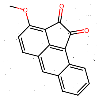 COc1ccc2cc3ccccc3c3c2c1C(=O)C3=O